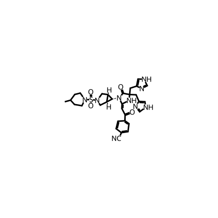 CC1CCN(S(=O)(=O)N2C[C@@H]3[C@H](C2)[C@H]3N2C(=O)C(Cc3c[nH]cn3)(Cc3c[nH]cn3)N/C2=C\C(=O)c2ccc(C#N)cc2)CC1